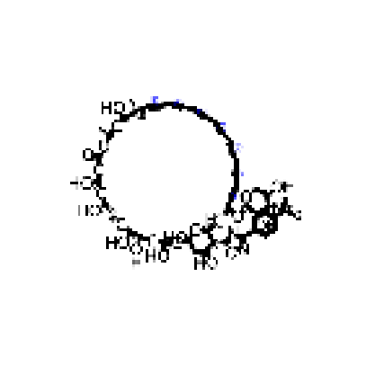 C[C@H]1C[C@H](O)[C@@H](C)/C=C/C=C/C=C/C=C/C=C/C=C/C=C/[C@H](O[C@@H]2OC[C@@H](O)[C@H](N)[C@@H]2O)C[C@@H]2O[C@](O)(C[C@@H](O)C[C@@H](O)[C@H](O)CC[C@@H](O)C[C@@H](O)CC(=O)O1)C[C@H](O)[C@H]2c1nc(-c2ccc(N(C)C)cc2)no1